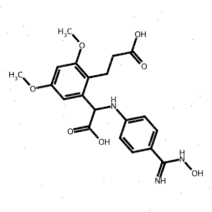 COc1cc(OC)c(CCC(=O)O)c(C(Nc2ccc(C(=N)NO)cc2)C(=O)O)c1